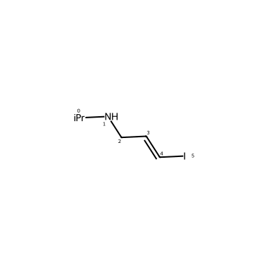 CC(C)NCC=CI